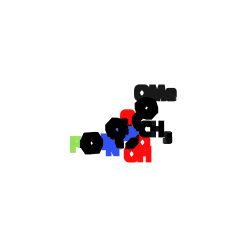 COc1cccc([C@@H](Oc2ccc3c(cnn3-c3ccc(F)cc3)c2)C(C)NC(=O)CO)c1